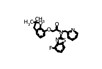 CC1(C)Cc2cccc(OCC(=O)N(Cc3ccccn3)c3nc4c(F)cccc4s3)c2O1